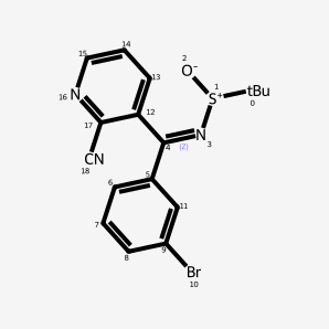 CC(C)(C)[S+]([O-])/N=C(/c1cccc(Br)c1)c1cccnc1C#N